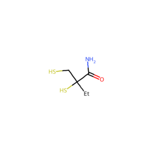 CCC(S)(CS)C(N)=O